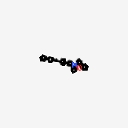 C(#Cc1ccc(-c2ccc3c(c2)c2ccccc2n3-c2cccc3c2oc2ccccc23)cc1)c1ccc(-c2ccccc2)cc1